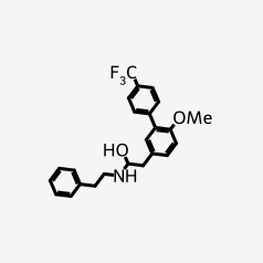 COc1ccc(CC(O)NCCc2ccccc2)cc1-c1ccc(C(F)(F)F)cc1